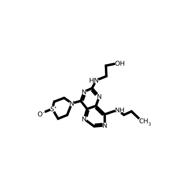 CCCNc1ncnc2c(N3CC[S+]([O-])CC3)nc(NCCO)nc12